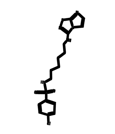 O=S(=O)(NCCCCCCNc1nsc2nccn12)c1ccc(Cl)cc1